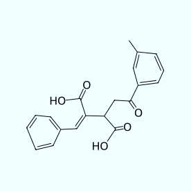 Cc1cccc(C(=O)CC(C(=O)O)C(=Cc2ccccc2)C(=O)O)c1